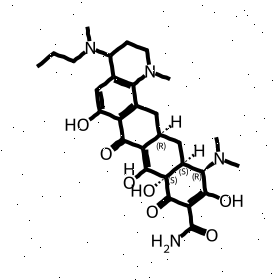 CCCN(C)C1CCN(C)c2c1cc(O)c1c2C[C@H]2C[C@H]3[C@@H](N(C)C)C(O)=C(C(N)=O)C(=O)[C@@]3(O)C(O)=C2C1=O